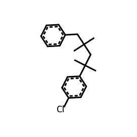 CC(C)(Cc1ccccc1)CC(C)(C)c1ccc(Cl)cc1